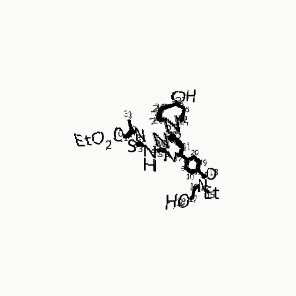 CCOC(=O)c1sc(Nc2nc(-c3ccc(C(=O)N(CC)CCO)cc3)cc(N3CCC(O)CC3)n2)nc1C